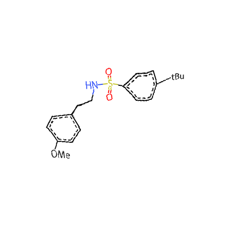 COc1ccc(CCNS(=O)(=O)c2ccc(C(C)(C)C)cc2)cc1